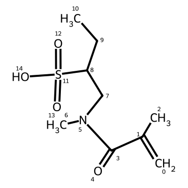 C=C(C)C(=O)N(C)CC(CC)S(=O)(=O)O